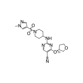 Cn1cc(S(=O)(=O)N2CCC(Nc3ncc(C#N)c(O[C@H]4CCOC4)n3)CC2)cn1